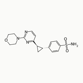 NS(=O)(=O)c1ccc([C@@H]2C[C@H]2c2ccnc(N3CCOCC3)n2)cc1